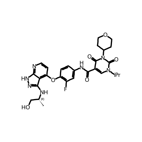 CC(C)n1cc(C(=O)Nc2ccc(Oc3ccnc4[nH]nc(N[C@H](C)CO)c34)c(F)c2)c(=O)n(C2CCOCC2)c1=O